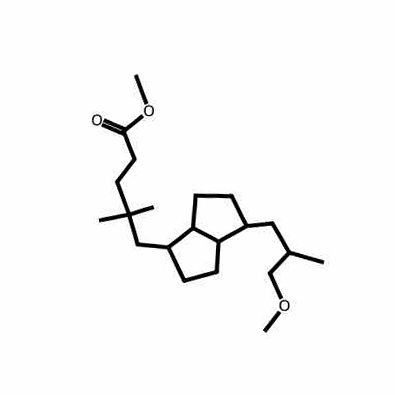 COCC(C)CC1CCC2C(CC(C)(C)CCC(=O)OC)CCC12